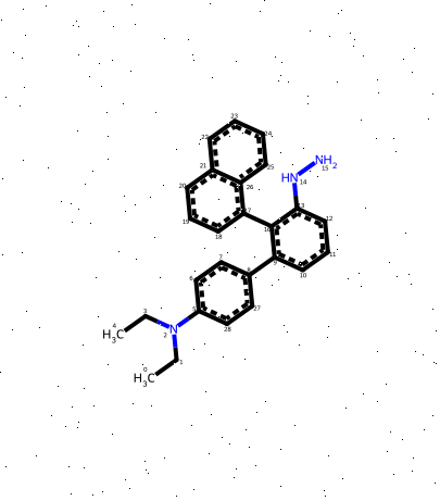 CCN(CC)c1ccc(-c2cccc(NN)c2-c2cccc3ccccc23)cc1